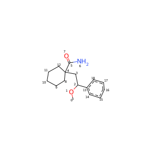 COC(CC1(C(N)=O)CCCCC1)c1ccccc1